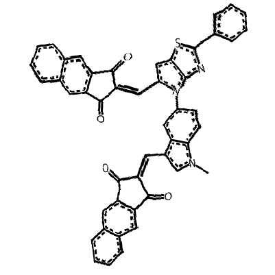 Cn1cc(C=C2C(=O)c3cc4ccccc4cc3C2=O)c2cc(-n3c(C=C4C(=O)c5cc6ccccc6cc5C4=O)cc4sc(-c5ccccc5)nc43)ccc21